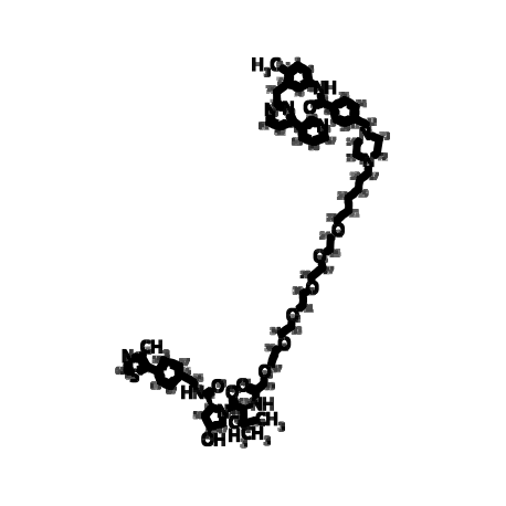 Cc1ccc(NC(=O)c2ccc(CN3CCN(CCCCCCOCCOCCOCCOCCOCCOCC(=O)N[C@H](C(=O)N4C[C@H](O)C[C@H]4C(=O)NCc4ccc(-c5scnc5C)cc4)C(C)(C)C)CC3)cc2)cc1Cc1nccc(-c2cccnc2)n1